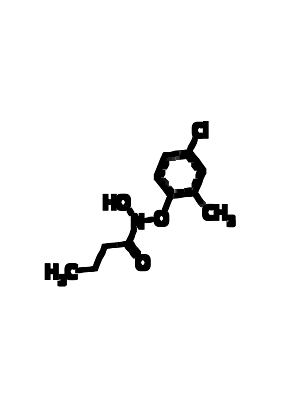 CCCC(=O)N(O)Oc1ccc(Cl)cc1C